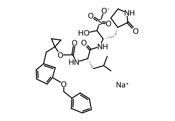 CC(C)C[C@H](NC(=O)OC1(Cc2cccc(OCc3ccccc3)c2)CC1)C(=O)N[C@@H](C[C@@H]1CCNC1=O)C(O)S(=O)(=O)[O-].[Na+]